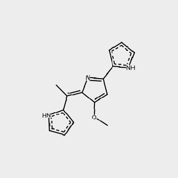 COC1=CC(c2ccc[nH]2)=NC1=C(C)c1ccc[nH]1